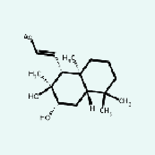 CC(=O)/C=C/[C@H]1[C@](C)(O)[C@@H](O)C[C@H]2C(C)(C)CCC[C@@]21C